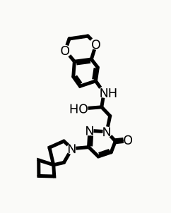 O=c1ccc(N2CCC3(CCC3)C2)nn1CC(O)Nc1ccc2c(c1)OCCO2